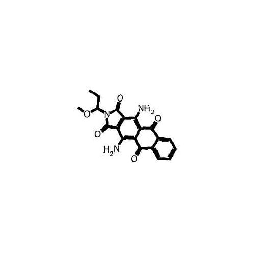 CCC(OC)n1c(=O)c2c(N)c3c(=O)c4ccccc4c(=O)c3c(N)c2c1=O